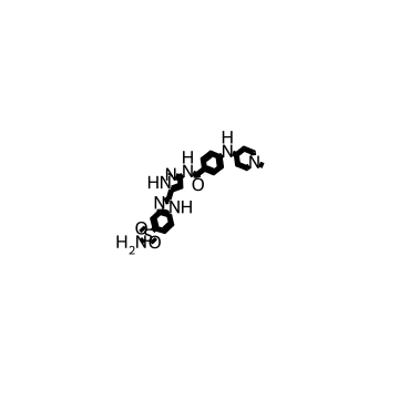 CN1CCC(Nc2ccc(C(=O)Nc3cc(-c4nc5cc(S(N)(=O)=O)ccc5[nH]4)[nH]n3)cc2)CC1